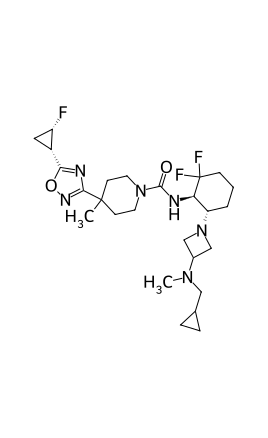 CN(CC1CC1)C1CN([C@H]2CCCC(F)(F)[C@@H]2NC(=O)N2CCC(C)(c3noc([C@@H]4C[C@@H]4F)n3)CC2)C1